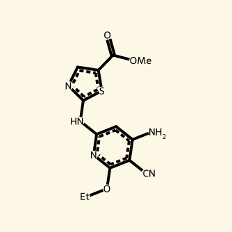 CCOc1nc(Nc2ncc(C(=O)OC)s2)cc(N)c1C#N